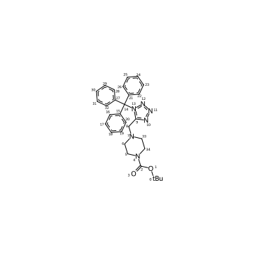 CC(C)(C)OC(=O)N1CCN(Cc2nnnn2C(c2ccccc2)(c2ccccc2)c2ccccc2)CC1